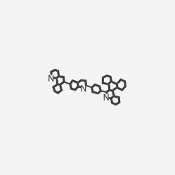 c1cnc2c(c1)cc(-c1ccc3nc(-c4ccc(-c5nc6ccccc6c6c7ccccc7c7ccccc7c56)cc4)ccc3c1)c1ccccc12